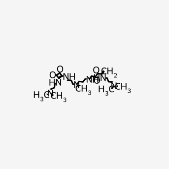 C=C(NCCCN(C)C)C(=O)C(=O)CNCCCN(C)CCCNc1c(NCCCN(C)C)c(=O)c1=O